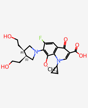 COc1c(N2C[C@@H](CCO)[C@@H](CCO)C2)c(F)cc2c(=O)c(C(=O)O)cn(C3CC3)c12